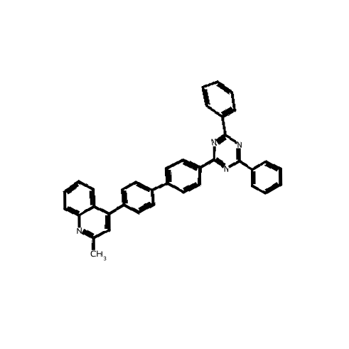 Cc1cc(-c2ccc(-c3ccc(-c4nc(-c5ccccc5)nc(-c5ccccc5)n4)cc3)cc2)c2ccccc2n1